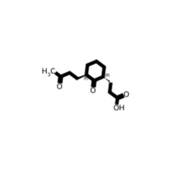 CC(=O)CC[C@H]1CCC[C@H](CCC(=O)O)C1=O